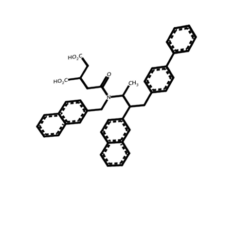 CC(C(Cc1ccc(-c2ccccc2)cc1)c1ccc2ccccc2c1)N(Cc1ccc2ccccc2c1)C(=O)CC(CC(=O)O)C(=O)O